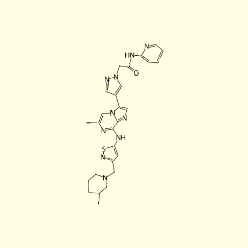 Cc1cn2c(-c3cnn(CC(=O)Nc4ccccn4)c3)cnc2c(Nc2cc(CN3CCCC(C)C3)ns2)n1